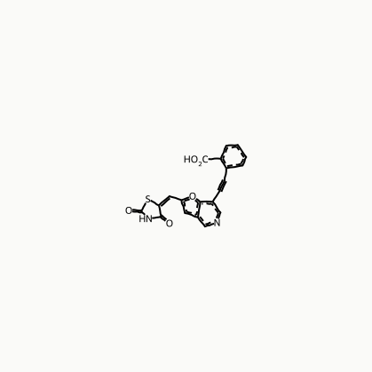 O=C1NC(=O)/C(=C\c2cc3cncc(C#Cc4ccccc4C(=O)O)c3o2)S1